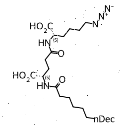 CCCCCCCCCCCCCCCC(=O)N[C@@H](CCC(=O)N[C@@H](CCCCN=[N+]=[N-])C(=O)O)C(=O)O